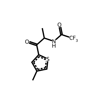 Cc1csc(C(=O)C(C)NC(=O)C(F)(F)F)c1